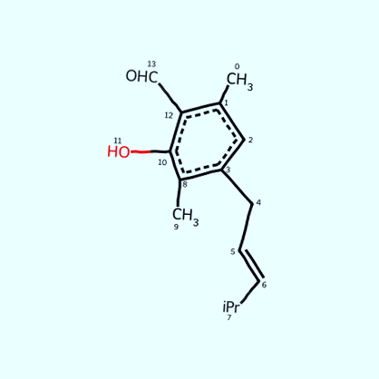 Cc1cc(CC=CC(C)C)c(C)c(O)c1C=O